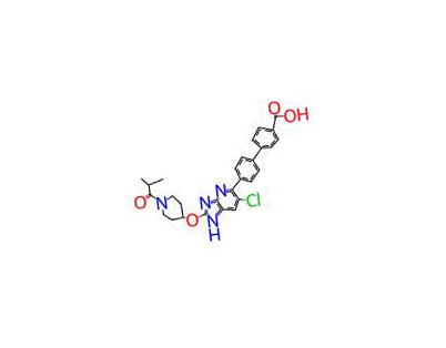 CC(C)C(=O)N1CCC(Oc2nc3nc(-c4ccc(-c5ccc(C(=O)O)cc5)cc4)c(Cl)cc3[nH]2)CC1